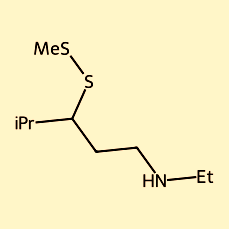 CCNCCC(SSC)C(C)C